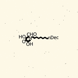 CCCCCCCCCCCCCCCCC=Cn1cc(O)c(=O)c(O)c1C=O